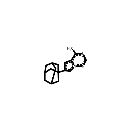 Cc1ncnn2cc(C34CC5CC(CC(C5)C3)C4)cc12